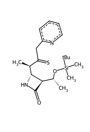 C[C@@H](O[Si](C)(C)C(C)(C)C)[C@H]1C(=O)N[C@@H]1[C@@H](C)C(=S)Cc1ccccn1